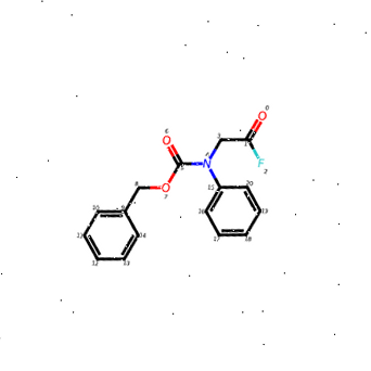 O=C(F)CN(C(=O)OCc1ccccc1)c1ccccc1